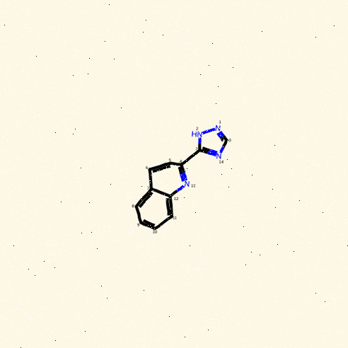 [c]1n[nH]c(-c2ccc3ccccc3n2)n1